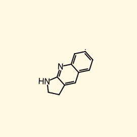 [c]1ccc2cc3c(nc2c1)NCC3